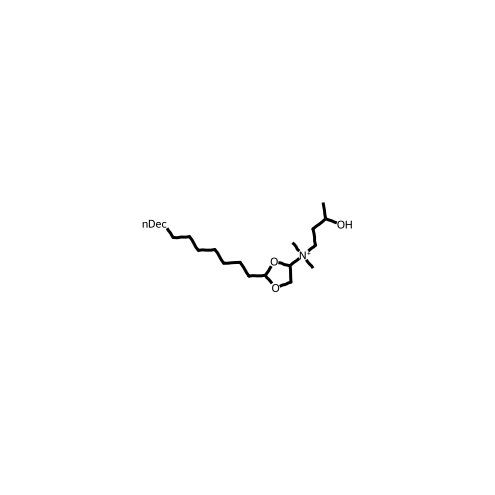 CCCCCCCCCCCCCCCCCC1OCC([N+](C)(C)CCC(C)O)O1